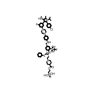 CNc1c(-c2cc(F)cc(N3CCN(c4ccc(NSc5ccc(N[C@H](CCN6CCC(C(=O)OCCP(=O)(O)O)CC6)CSc6ccccc6)c(S(=O)(=O)C(F)(F)F)c5)cc4)CC3)c2)c(-c2ccc(Cl)cc2)n(C(C)C)c1C